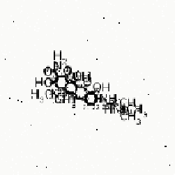 CN(C)[C@@H]1C(O)=C(C(N)=O)C(=O)[C@@]2(O)C(O)=C3C(=O)c4c(ccc(NCCNC(C)(C)C)c4O)C[C@H]3C[C@@H]12